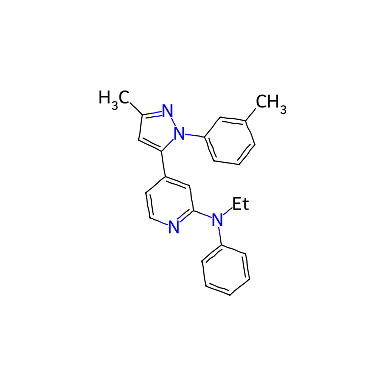 CCN(c1ccccc1)c1cc(-c2cc(C)nn2-c2cccc(C)c2)ccn1